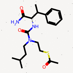 CC(=O)SCCN(CCC(C)C)C(=O)N[C@H](C(N)=O)C(C)c1ccccc1